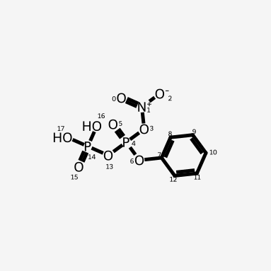 O=[N+]([O-])OP(=O)(Oc1ccccc1)OP(=O)(O)O